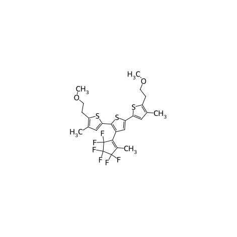 COCCc1sc(-c2cc(C3=C(C)C(F)(F)C(F)(F)C3(F)F)c(-c3cc(C)c(CCOC)s3)s2)cc1C